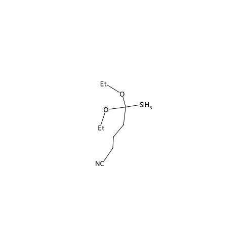 CCOC([SiH3])(CCCC#N)OCC